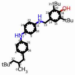 CC(Cc1ccc(Nc2ccc(NCc3cc(C(C)(C)C)c(O)c(C(C)(C)C)c3)cc2)cc1)CC(C)(C)C